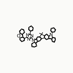 CC1(C)c2cc3c(cc2-c2cc4c5ccccc5n(-c5nc(-c6ccccc6)nc(-c6cccc7oc8ccccc8c67)n5)c4cc21)c1ccccc1n3-c1ccccc1